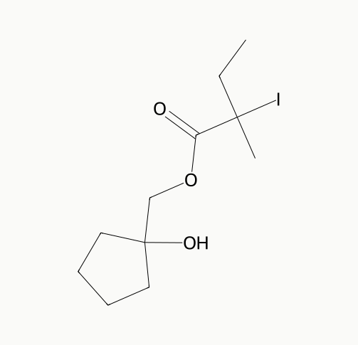 CCC(C)(I)C(=O)OCC1(O)CCCC1